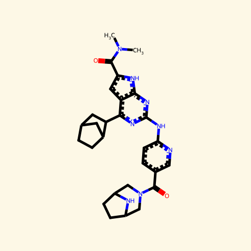 CN(C)C(=O)c1cc2c(C3CC4CCC3C4)nc(Nc3ccc(C(=O)N4CC5CCC(C4)N5)cn3)nc2[nH]1